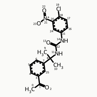 CC(=O)c1cccc(C(C)(C)NC(=O)Nc2ccc(Cl)c([N+](=O)[O-])c2)c1